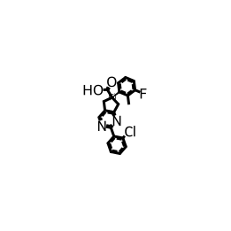 Cc1c(F)cccc1[C@]1(C(=O)O)Cc2cnc(-c3ccccc3Cl)nc2C1